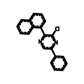 Clc1nc(-c2ccccc2)cnc1-c1cccc2ccccc12